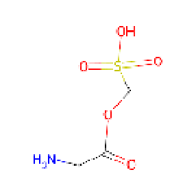 NCC(=O)OCS(=O)(=O)O